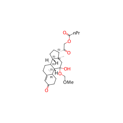 CCCC(=O)OCC(=O)[C@H]1CC[C@H]2[C@@H]3CCC4=CC(=O)CC[C@]4(C)[C@H]3C(O)(OCOC)C[C@]12C